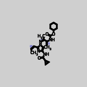 C/C=C\c1nc(NC(=O)C2CC2)cn1/N=C(C)\C(=C/C)NC(=O)OC1CCCCC1